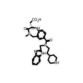 CN1Cc2cc(C(=O)N(CCC3CCNCC3)Cc3nc4ccccc4[nH]3)ccc2N[C@@H](CC(=O)O)C1=O